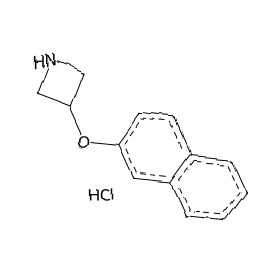 Cl.c1ccc2cc(OC3CNC3)ccc2c1